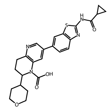 O=C(Nc1nc2ccc(-c3cnc4c(c3)N(C(=O)O)C(C3CCOCC3)CC4)cc2s1)C1CC1